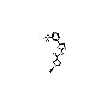 CS(=O)(=O)c1cccc(-c2cnc(NC(=O)C3CCN(C#N)C3)s2)c1